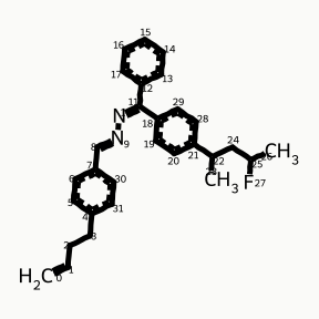 C=CCCc1ccc(C=NN=C(c2ccccc2)c2ccc(C(C)CC(C)F)cc2)cc1